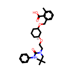 Cc1cccc(COC2CCC[C@H](OCCN(CC(C)(C)C)C(=O)Nc3ccccc3)C2)c1C(=O)O